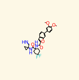 COc1ccc(-c2ccc3cc(C(=O)NC4(C(=O)NC5(C=N)CC5)CCC(F)(F)CC4)oc3c2)cc1OC